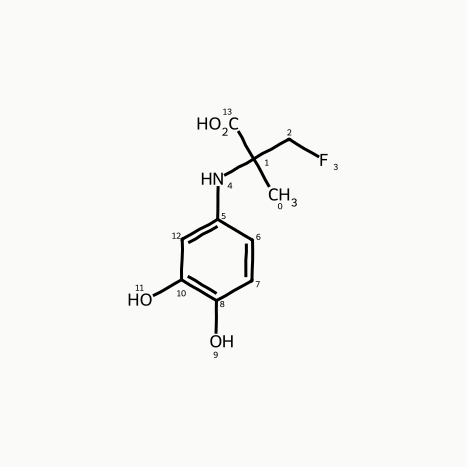 CC(CF)(Nc1ccc(O)c(O)c1)C(=O)O